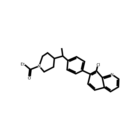 CCC(=O)N1CCC(C(C)c2ccc(-c3ccc4cccnc4c3Cl)cc2)CC1